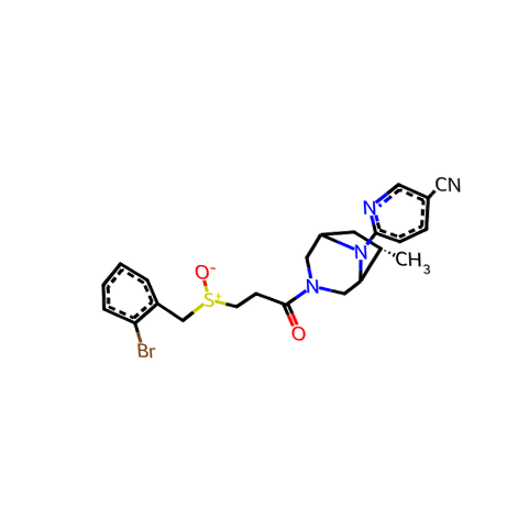 C[C@H]1CC2CN(C(=O)CC[S+]([O-])Cc3ccccc3Br)CC1N2c1ccc(C#N)cn1